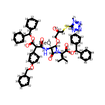 CO[C@@]1(NC(=O)C(C(=O)OC(c2ccccc2)c2ccccc2)c2ccc(OCc3ccccc3)cc2)C(=O)N(C(C(=O)OC(c2ccccc2)c2ccccc2)=C(C)C)[C@@H]1OCC(=O)CSc1nnnn1C